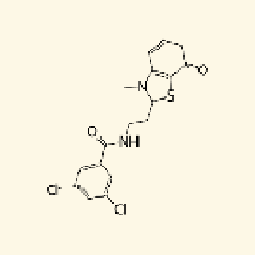 CN1C2=C(SC1CCNC(=O)c1cc(Cl)cc(Cl)c1)C(=O)CC=C2